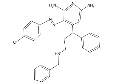 Nc1cc(C(CCNCc2ccccc2)c2ccccc2)c(N=Nc2ccc(Cl)cc2)c(N)n1